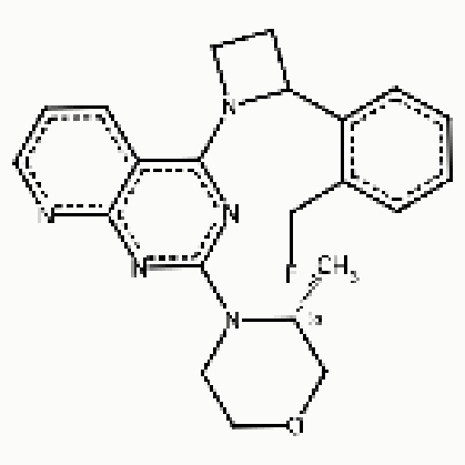 C[C@@H]1COCCN1c1nc(N2CCC2c2ccccc2CF)c2cccnc2n1